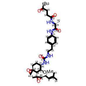 CO[C@H]1[C@H](C2(C)O[C@@H]2CC=C(C)C)[C@]2(CC[C@H]1NC(=O)NCCc1ccc(NC(=O)[C@@H](C)NC(=O)CCC(=O)C(C)(C)C)cc1)CO2